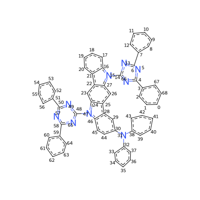 c1ccc(-c2nc(-c3ccccc3)nc(-n3c4ccccc4c4cc5c(cc43)c3cc(N(c4ccccc4)c4ccccc4)ccc3n5-c3nc(-c4ccccc4)nc(-c4ccccc4)n3)n2)cc1